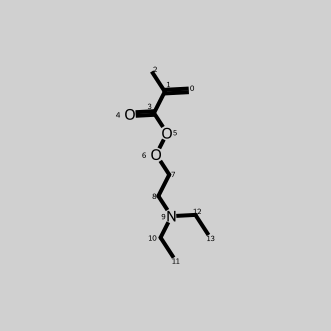 C=C(C)C(=O)OOCCN(CC)CC